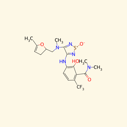 CC1=CCC(CN(C)c2n[s+]([O-])nc2Nc2ccc(C(F)(F)F)c(C(=O)N(C)C)c2O)O1